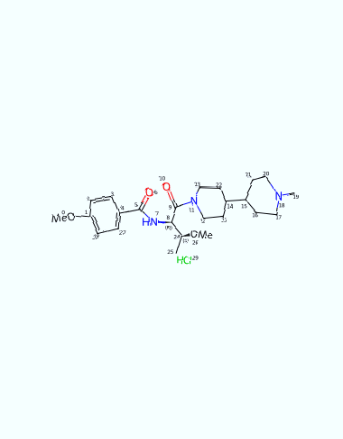 COc1ccc(C(=O)N[C@@H](C(=O)N2CCC(C3CCN(C)CC3)CC2)[C@H](C)OC)cc1.Cl